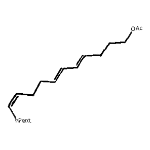 CCCCC/C=C\CC/C=C/C=C/CCCOC(C)=O